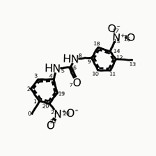 Cc1ccc(NC(=O)Nc2ccc(C)c([N+](=O)[O-])c2)cc1[N+](=O)[O-]